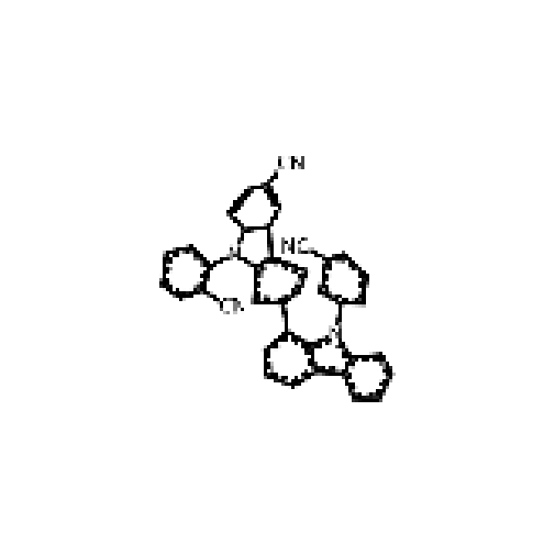 N#CC1=CC2c3ccc(-c4cccc5c6ccccc6n(-c6cccc(C#N)c6)c45)cc3N(c3ccccc3C#N)C2C=C1